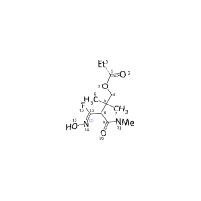 CCC(=O)OCC(C)(C)C(C(=O)NC)/C(F)=N/O